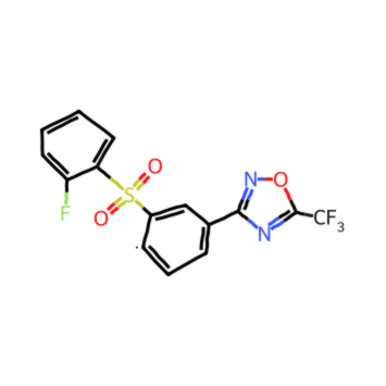 O=S(=O)(c1[c]ccc(-c2noc(C(F)(F)F)n2)c1)c1ccccc1F